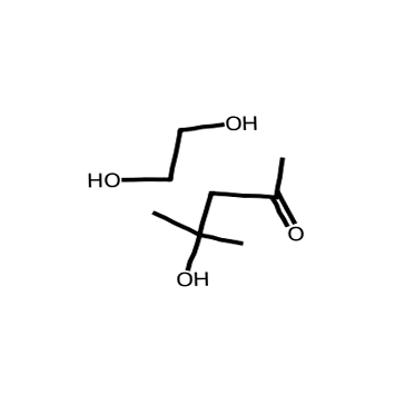 CC(=O)CC(C)(C)O.OCCO